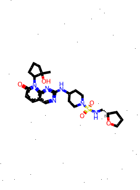 CC1(O)CCCC1n1c(=O)ccc2cnc(NC3CCN(S(=O)(=O)NC[C@@H]4CCCO4)CC3)nc21